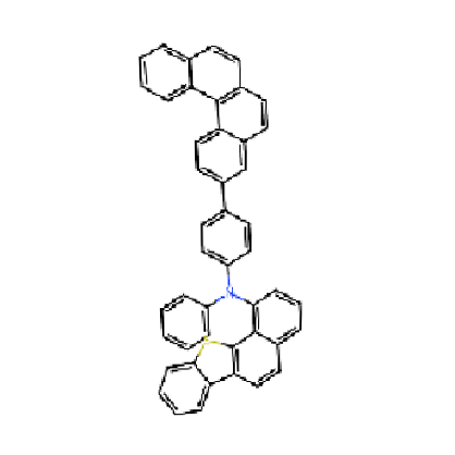 c1ccc(N(c2ccc(-c3ccc4c(ccc5ccc6ccccc6c54)c3)cc2)c2cccc3ccc4c5ccccc5sc4c23)cc1